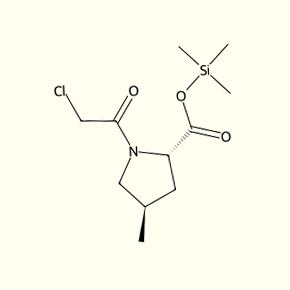 C[C@@H]1C[C@@H](C(=O)O[Si](C)(C)C)N(C(=O)CCl)C1